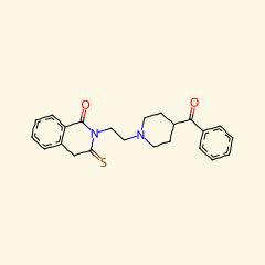 O=C(c1ccccc1)C1CCN(CCN2C(=O)c3ccccc3CC2=S)CC1